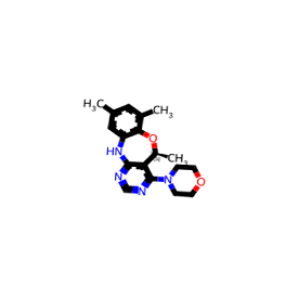 Cc1cc(C)c2c(c1)Nc1ncnc(N3CCOCC3)c1[C@H](C)O2